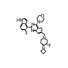 Fc1ccc2[nH]ccc2c1-c1nc(N2CCOCC2)c2sc(CN3CC[C@@H](N4CCC4)[C@@H](F)C3)cc2n1